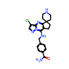 NC(=O)c1ccc(CNc2c3c(nc4c(Cl)cnn24)C2(CCNCC2)CC3)cc1